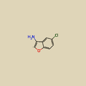 Nc1[c]oc2ccc(Cl)cc12